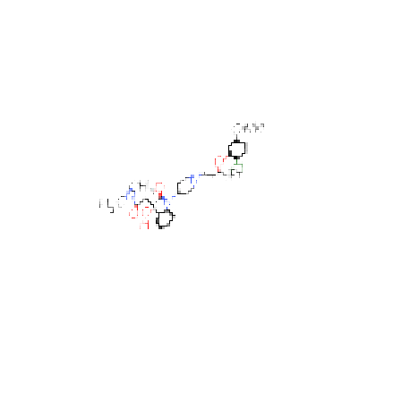 COc1ccc(Cl)c(OC(CCN2CCC(N3C(=O)C(O)(CC(=O)N(C)C)c4ccccc43)CC2)C(C)C)c1